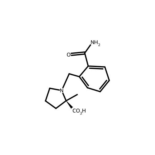 C[C@]1(C(=O)O)CCCN1Cc1ccccc1C(N)=O